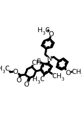 CCOC(=O)C1CC(C)C(c2c(C)c(C)cc(N(Cc3ccc(OC)cc3)Cc3ccc(OC)cc3)c2F)CC1=O